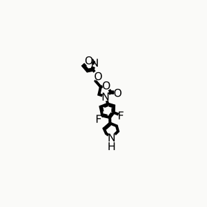 O=C1OC(COc2ccon2)CN1c1cc(F)c(C2=CCNCC2)c(F)c1